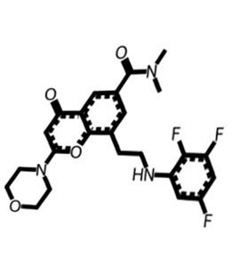 CN(C)C(=O)c1cc(CCNc2cc(F)cc(F)c2F)c2oc(N3CCOCC3)cc(=O)c2c1